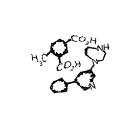 Cc1ccc(C(=O)O)cc1C(=O)O.c1ccc(-c2cncc(N3CCNCC3)c2)cc1